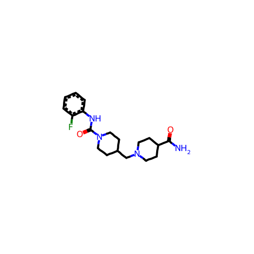 NC(=O)C1CCN(CC2CCN(C(=O)Nc3ccccc3F)CC2)CC1